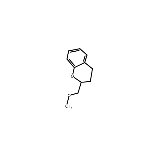 COCC1CCc2ccccc2O1